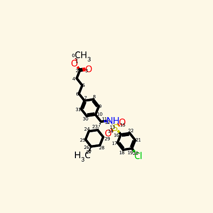 COC(=O)CCCc1ccc(C(NS(=O)(=O)c2ccc(Cl)cc2)[C@H]2CC[C@H](C)CC2)cc1